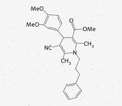 COC(=O)C1=C(C)N(CCCc2ccccc2)C(C)=C(C#N)C1c1ccc(OC)c(OC)c1